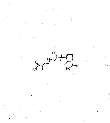 CC(C)(c1cccc(C(=O)O)c1F)C(O)CNCCNC(N)=O